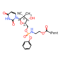 CCCC(C)C(=O)OCCNP(=O)(OC[C@H]1O[C@@H](n2ccc(=O)[nH]c2=O)[C@](C)(C#N)[C@@H]1O)Oc1ccccc1